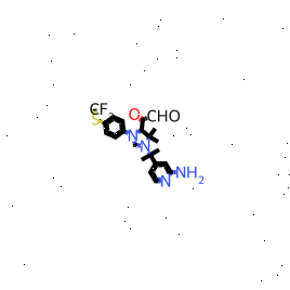 CC(C)(c1ccnc(N)c1)N1CN(c2ccc(SC(F)(F)F)cc2)C(C(=O)C=O)C1(C)C